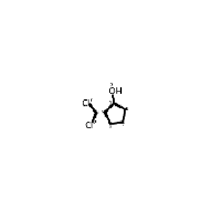 ClCCl.OC1CCCC1